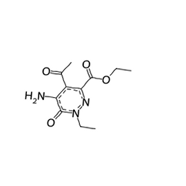 CCOC(=O)c1nn(CC)c(=O)c(N)c1C(C)=O